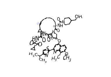 COc1ccc2c(O[C@@H]3C[C@H]4C(=O)N[C@]5(C(=O)NS(=O)(=O)C6CC6)CC5/C=C\CCCCC[C@H](NC(=O)N5CCC(CO)CC5)C(=O)N4C3)cc(-c3nc(C(C)C)cs3)nc2c1C